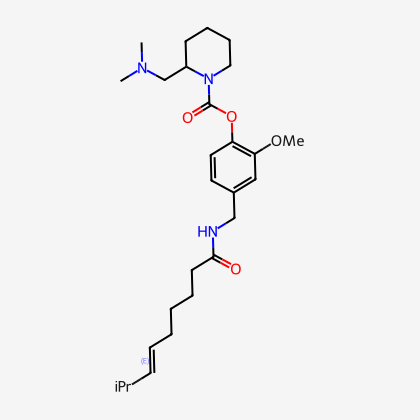 COc1cc(CNC(=O)CCCC/C=C/C(C)C)ccc1OC(=O)N1CCCCC1CN(C)C